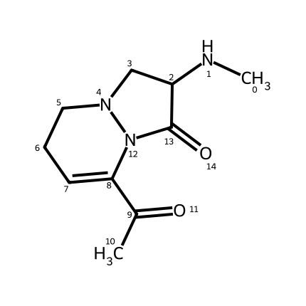 CNC1CN2CCC=C(C(C)=O)N2C1=O